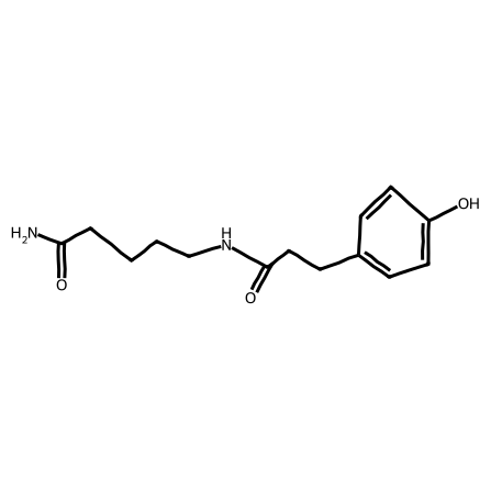 NC(=O)CCCCNC(=O)CCc1ccc(O)cc1